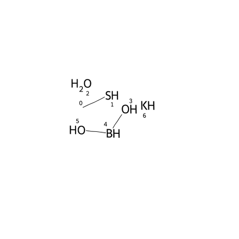 CS.O.OBO.[KH]